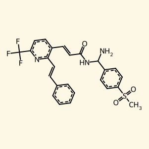 CS(=O)(=O)c1ccc(C(N)NC(=O)C=Cc2ccc(C(F)(F)F)nc2C=Cc2ccccc2)cc1